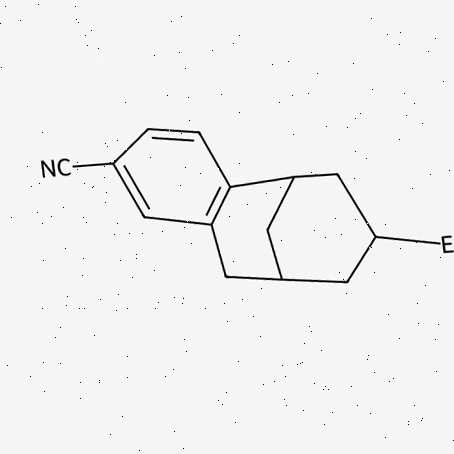 CCC1CC2Cc3cc(C#N)ccc3C(C1)C2